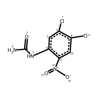 NC(=O)Nc1cc(Cl)c(Cl)cc1[N+](=O)[O-]